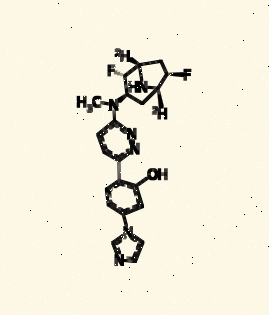 [2H][C@]12C[C@@H](N(C)c3ccc(-c4ccc(-n5ccnc5)cc4O)nn3)[C@H](F)[C@]([2H])(C[C@H]1F)N2